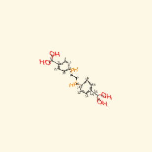 OC(O)c1ccc(PCCPc2ccc(C(O)O)cc2)cc1